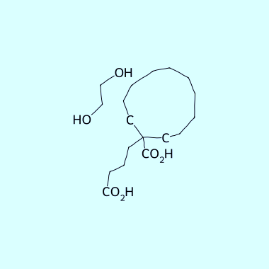 O=C(O)CCCC1(C(=O)O)CCCCCCCCCC1.OCCO